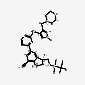 Cn1cc(Nc2nccc(-c3cc(C#N)c4c(c3)[C@@](C)(CO[Si](C)(C)C(C)(C)C)CN4)n2)c(CN2CCOCC2)n1